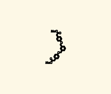 COC(=O)Cc1ccc(OCc2cccc(COc3ccc(CC(=O)OC)cc3)c2)cc1